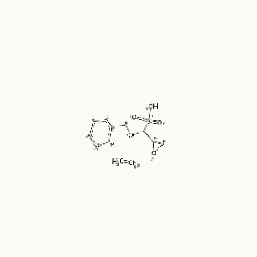 C=C.O=S(=O)(O)C(OCc1ccccc1)C1CO1